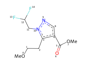 COCCc1c(C(=O)OC)cnn1CC(F)F